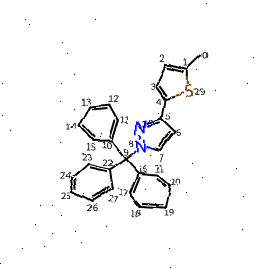 Cc1ccc(-c2ccn(C(c3ccccc3)(c3ccccc3)c3ccccc3)n2)s1